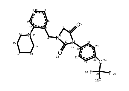 O=C1CN(Cc2ccncc2N2CCCCC2)C(=O)N1c1ccc(OC(F)(F)F)cc1